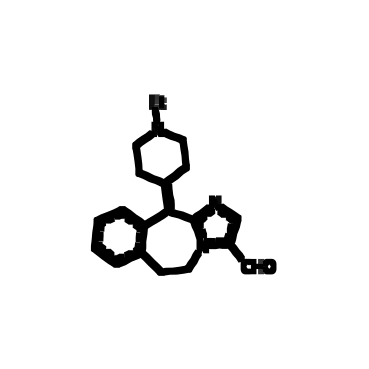 CCN1CCC(=C2c3ccccc3CCn3c(C=O)cnc32)CC1